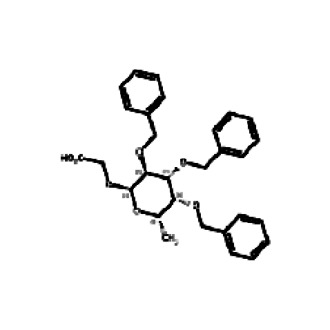 C[C@@H]1O[C@@H](OCC(=O)O)[C@@H](OCc2ccccc2)[C@H](OCc2ccccc2)[C@@H]1OCc1ccccc1